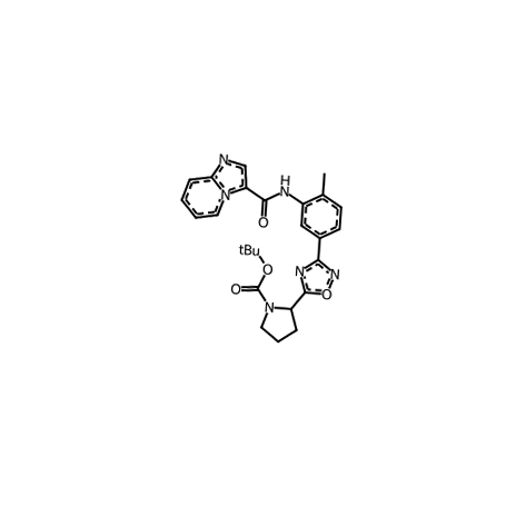 Cc1ccc(-c2noc(C3CCCN3C(=O)OC(C)(C)C)n2)cc1NC(=O)c1cnc2ccccn12